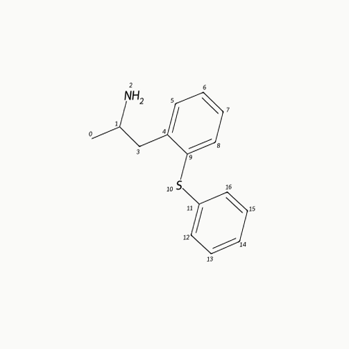 CC(N)Cc1ccccc1Sc1ccccc1